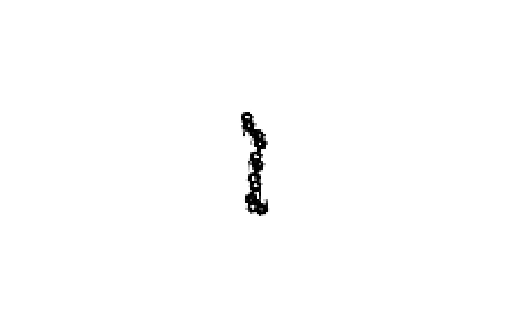 c1ccc2cc(-c3ccc4ccc(-c5ccc6nc(-c7ccc8cc(-c9ccc%10ccc%11cccnc%11c%10n9)ccc8c7)ccc6c5)cc4n3)ncc2c1